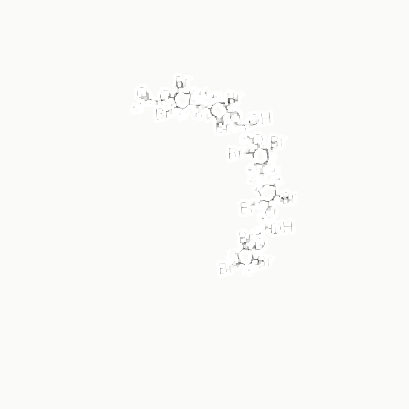 CC(C)(c1cc(Br)c(OCC(O)COc2c(Br)cc(Br)cc2Br)c(Br)c1)c1cc(Br)c(OCC(O)COc2c(Br)cc(C(C)(C)c3cc(Br)c(OCC4CO4)c(Br)c3)cc2Br)c(Br)c1